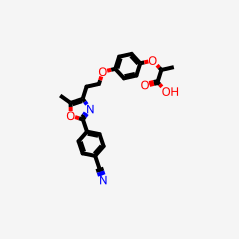 Cc1oc(-c2ccc(C#N)cc2)nc1CCOc1ccc(OC(C)C(=O)O)cc1